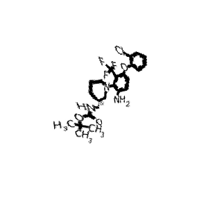 CC(C)(C)OC(=O)NC[C@@H]1CCCN(c2c(N)ccc(Oc3ccccc3Cl)c2C(F)(F)F)C1